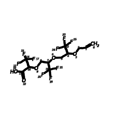 C=CCOC(COC(COC(C(=O)O)C(F)(F)F)C(F)(F)F)C(F)(F)F